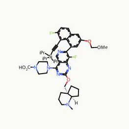 COCOc1cc(-c2ncc3c(N4CCN(C(=O)O)CC4)nc(OC[C@]45CCC[C@H]4N(C)CCC5)nc3c2F)c2c(C#C[Si](C(C)C)(C(C)C)C(C)C)c(F)ccc2c1